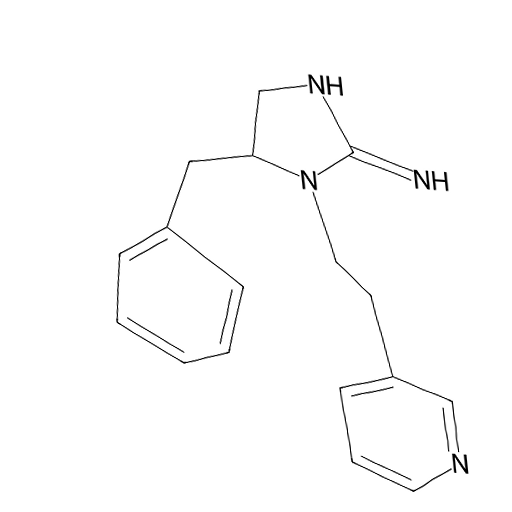 N=C1NCC(Cc2ccccc2)N1CCc1cccnc1